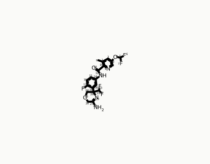 Cc1cc(OC(F)F)cnc1C(=O)Nc1ccc(F)c(C2(C(F)F)COCC(N)=N2)c1